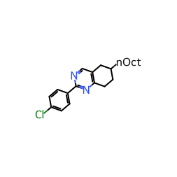 CCCCCCCCC1CCc2nc(-c3ccc(Cl)cc3)ncc2C1